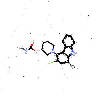 CC(C)(C)NC(=O)O[C@@H]1CCCN(c2c(F)cc(C#N)c3[nH]c4ccccc4c23)C1